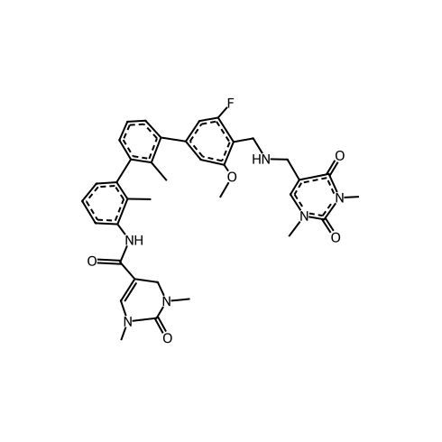 COc1cc(-c2cccc(-c3cccc(NC(=O)C4=CN(C)C(=O)N(C)C4)c3C)c2C)cc(F)c1CNCc1cn(C)c(=O)n(C)c1=O